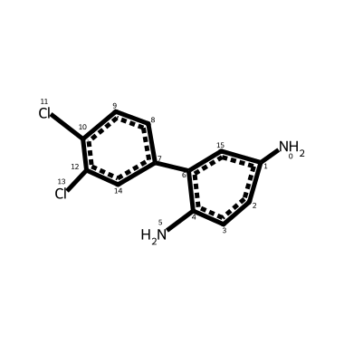 Nc1ccc(N)c(-c2ccc(Cl)c(Cl)c2)c1